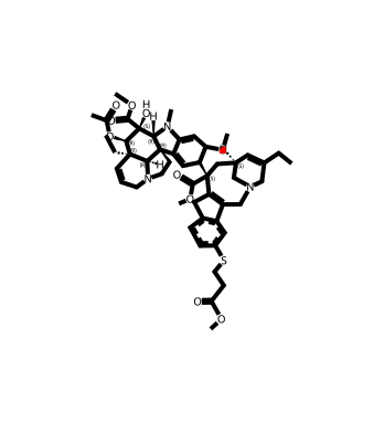 CCC1=C[C@H]2CN(C1)CC1=C(Cc3ccc(SCCC(=O)OC)cc31)[C@@](C(=O)OC)(C1C=C3C(=CC1OC)N(C)[C@H]1[C@@](O)(C(=O)OC)[C@H](OC(C)=O)[C@]4(CC)C=CCN5CC[C@]31[C@@H]54)C2